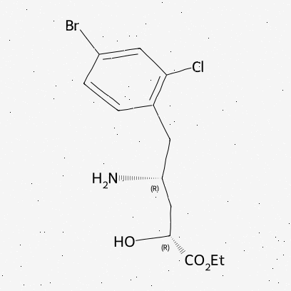 CCOC(=O)[C@H](O)C[C@H](N)Cc1ccc(Br)cc1Cl